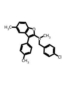 Cc1ccc(-c2c(N(C)Cc3ccc(Cl)cc3)oc3ccc(C)cc23)cc1